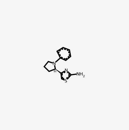 Nc1nc([C@H]2CCCN2c2ccccc2)cs1